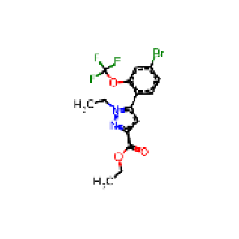 CCOC(=O)c1cc(-c2ccc(Br)cc2OC(F)(F)F)n(CC)n1